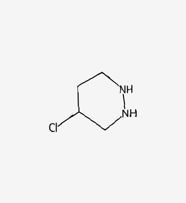 ClC1CCNNC1